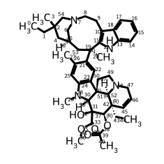 CCC1(C)C[C@H]2CN(CCc3c([nH]c4ccccc34)[C@@](C)(c3cc4c(cc3C)N(C)[C@H]3C(O)(C(=O)OC)[C@H](OC(C)=O)[C@]5(CC)C=CCN6CC[C@]43[C@@H]65)C2)C1